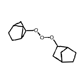 C1CC2CC1CC2OOOC1CC2CCC1C2